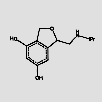 CC(C)NCC1OCc2c(O)cc(O)cc21